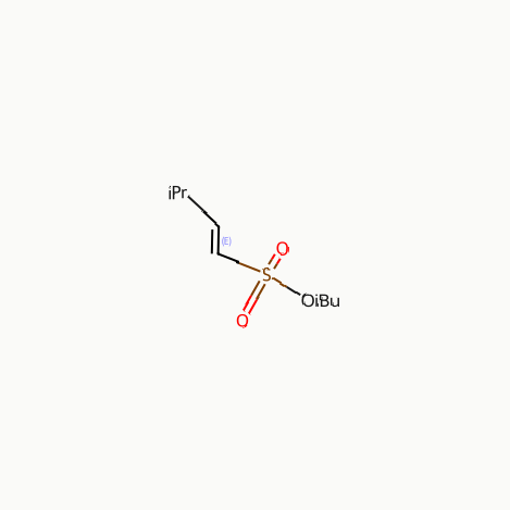 CC(C)/C=C/S(=O)(=O)OCC(C)C